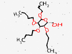 C=CCO[C@H]1O[C@H](CO)[C@@H](OCCCC)[C@H](OCCCC)[C@H]1OCCCC